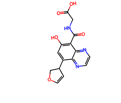 O=C(O)CNC(=O)c1c(O)cc(C2C=COC2)c2nccnc12